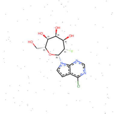 OC[C@H]1O[C@@H](n2ccc3c(Cl)ncnc32)[C@@H](F)[C@H](O)[C@H](O)[C@@H]1O